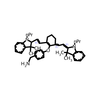 CCCN1/C(=C/C=C2\CCCC(/C=C/C3N(CCC)c4ccccc4C3(C)C)=C2Oc2ccc(CN)cc2)C(C)(C)c2ccccc21